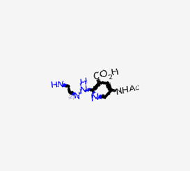 CC(=O)Nc1cnc(N/N=C\C=N)c(C(=O)O)c1